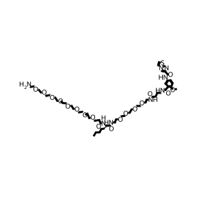 CCCCC[C@@H](NC(=O)CCOCCOCCOCCOCCOCCOCCOCCOCCN)C(=O)NCCOCCOCCOCCOCCNC(=O)CCCNC(=O)c1cc(NC(=O)c2cn3ccsc3n2)ccc1OC